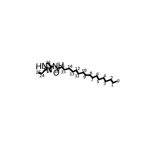 CCCCCCCCCCCCCCCCCC(=O)NC1CNC(CC)=N1